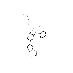 COc1ccccc1-c1nn(COCC[Si](C)(C)C)c2ncc(-c3cccc(C(C(=O)N(C)C)N(C)C)c3)cc12